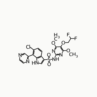 COc1nc(NS(=O)(=O)c2c[nH]c3c(-c4cnccn4)c(Cl)ccc23)nc(OC)c1OCC(F)F